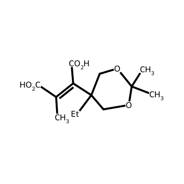 CCC1(C(C(=O)O)=C(C)C(=O)O)COC(C)(C)OC1